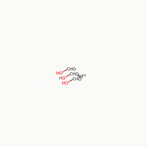 O=[C-]O.O=[C-]O.O=[C-]O.[Nd+3]